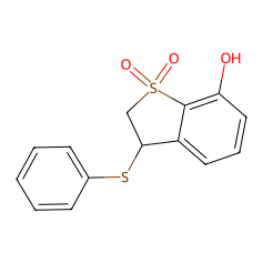 O=S1(=O)CC(Sc2ccccc2)c2cccc(O)c21